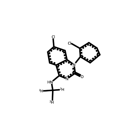 [2H]C([2H])([2H])Nc1nc(=O)n(-c2ccccc2Cl)c2cc(Cl)ccc12